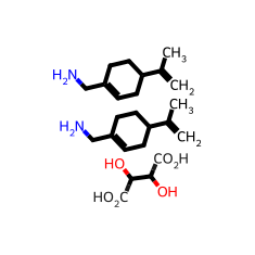 C=C(C)C1CC=C(CN)CC1.C=C(C)C1CC=C(CN)CC1.O=C(O)C(O)C(O)C(=O)O